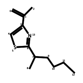 C=C(C)c1csc(C(C)CCCC)n1